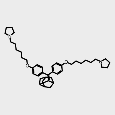 c1cc(C(=C2C3CC4CC(C3)C2C4)c2ccc(OCCCCCCN3CCCC3)cc2)ccc1OCCCCCCN1CCCC1